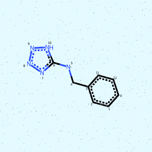 c1ccc(C[N]c2nnn[nH]2)cc1